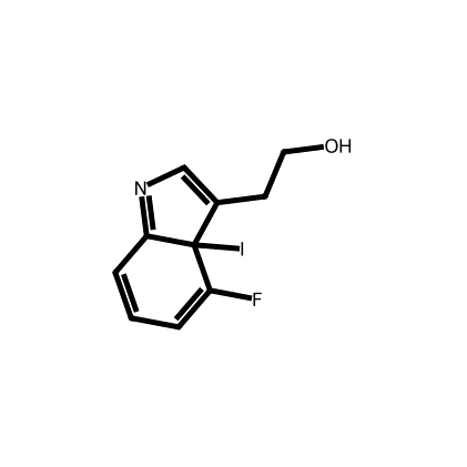 OCCC1=CN=C2C=CC=C(F)C12I